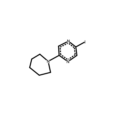 Ic1cnc(N2CCCCC2)cn1